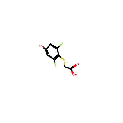 O=C(O)CSc1c(F)cc(Br)cc1F